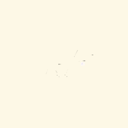 C=C/C=C(/F)C(=C)Oc1cnnc(C(=O)OCC)c1